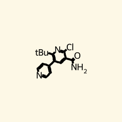 CC(C)(C)c1nc(Cl)c(C(N)=O)cc1-c1ccncc1